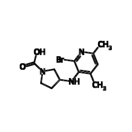 Cc1cc(C)c(NC2CCN(C(=O)O)C2)c(Br)n1